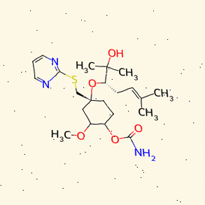 COC1C[C@](CSc2ncccn2)(O[C@@H](CC=C(C)C)C(C)(C)O)CCC1OC(N)=O